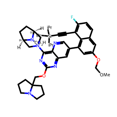 COCOc1cc(-c2cnc3c(N4C[C@H]5CC[C@@H](C4)N5C(=O)O)nc(OCC45CCCN4CCC5)nc3c2)c2c(C#C[Si](C(C)C)(C(C)C)C(C)C)c(F)ccc2c1